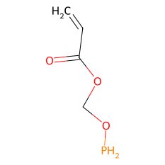 C=CC(=O)OCOP